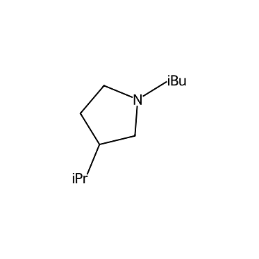 CCC(C)N1CCC(C(C)C)C1